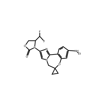 CCNc1ccc2c(c1)OC1(CC1)Cn1cc(N3C(=O)OCC3C(F)F)nc1-2